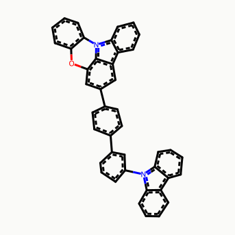 c1cc(-c2ccc(-c3cc4c5c(c3)c3ccccc3n5-c3ccccc3O4)cc2)cc(-n2c3ccccc3c3ccccc32)c1